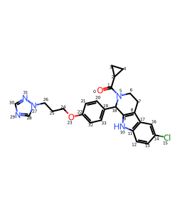 O=C(C1CC1)N1CCc2c([nH]c3ccc(Cl)cc23)C1c1ccc(OCCCn2cncn2)cc1